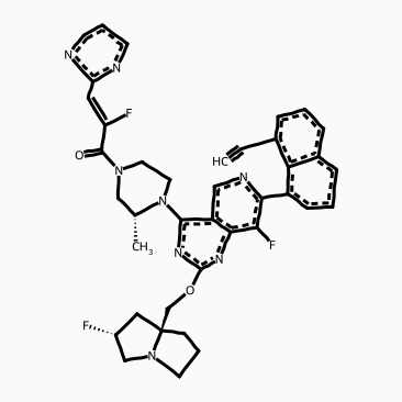 C#Cc1cccc2cccc(-c3ncc4c(N5CCN(C(=O)/C(F)=C/c6ncccn6)C[C@H]5C)nc(OC[C@@]56CCCN5C[C@H](F)C6)nc4c3F)c12